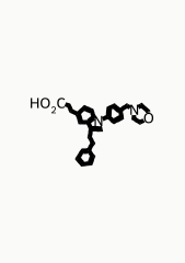 O=C(O)CCc1ccc2c(c1)c(CCc1ccccc1)cn2-c1ccc(CN2CCOCC2)cc1